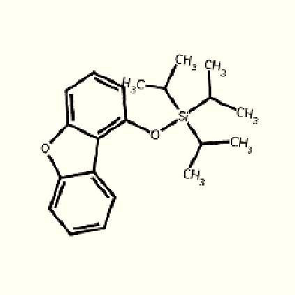 CC(C)[Si](Oc1cccc2oc3ccccc3c12)(C(C)C)C(C)C